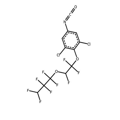 O=C=Nc1cc(Cl)c(OC(F)(F)C(F)OC(F)(F)C(F)(F)C(F)F)c(Cl)c1